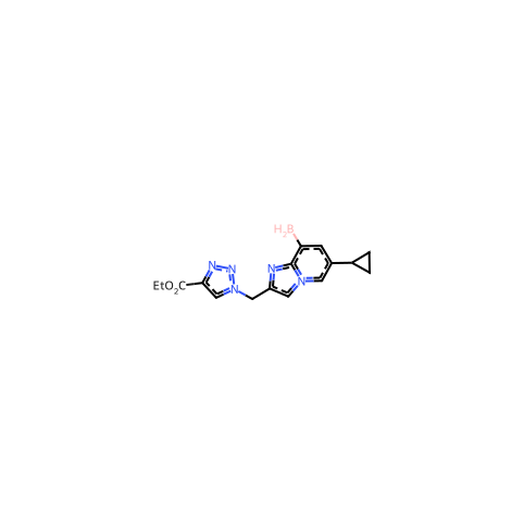 Bc1cc(C2CC2)cn2cc(Cn3cc(C(=O)OCC)nn3)nc12